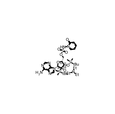 CC(C)(C)[Si](C)(C)O[C@@H]1[C@@H](COS(=O)(=O)Nn2ccccc2=O)O[C@@H](n2cnc3c(N)ncnc32)[C@@]1(O)[Si](C)(C)C(C)(C)C.CCN(CC)CC